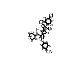 N#Cc1ccc(OCC2(C(=O)NC3CCOCC3)CN(S(=O)(=O)c3ccc(Cl)cc3Cl)C2)cc1